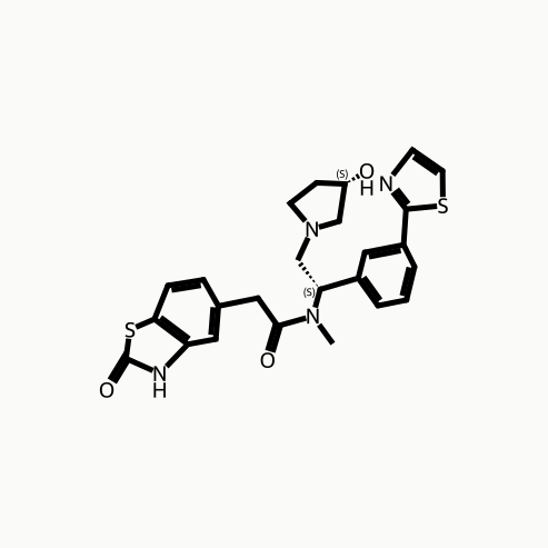 CN(C(=O)Cc1ccc2sc(=O)[nH]c2c1)[C@H](CN1CC[C@H](O)C1)c1cccc(-c2nccs2)c1